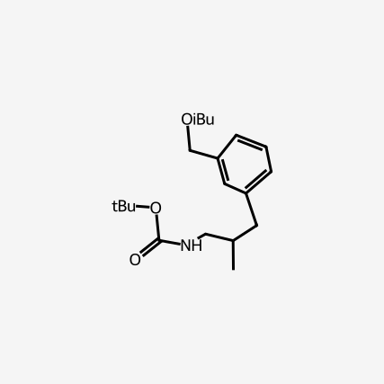 CC(C)COCc1cccc(CC(C)CNC(=O)OC(C)(C)C)c1